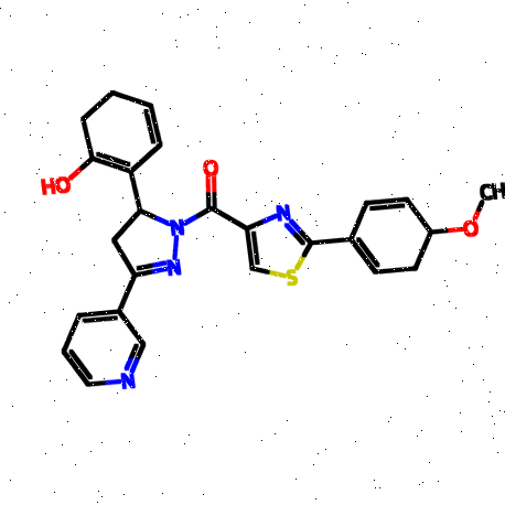 COC1C=CC(c2nc(C(=O)N3N=C(c4cccnc4)CC3C3=C(O)CCC=C3)cs2)=CC1